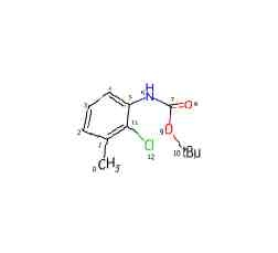 Cc1cccc(NC(=O)OC(C)(C)C)c1Cl